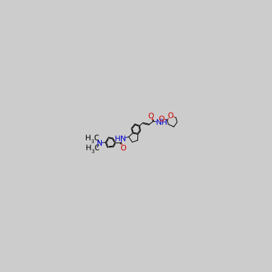 CN(C)c1ccc(C(=O)NC2CCc3cc(C=CC(=O)NOC4CCCCO4)ccc32)cc1